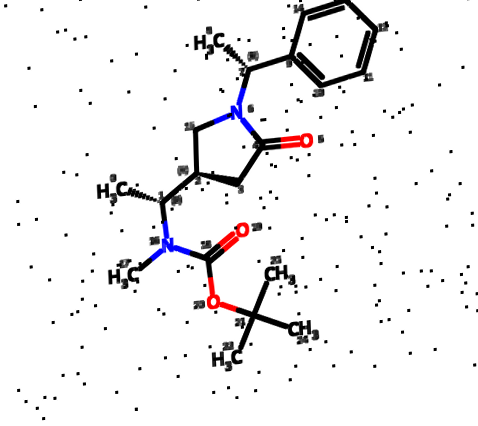 C[C@H]([C@@H]1CC(=O)N([C@H](C)c2ccccc2)C1)N(C)C(=O)OC(C)(C)C